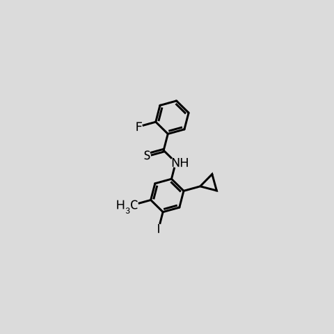 Cc1cc(NC(=S)c2ccccc2F)c(C2CC2)cc1I